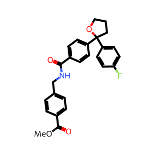 COC(=O)c1ccc(CNC(=O)c2ccc(C3(c4ccc(F)cc4)CCCO3)cc2)cc1